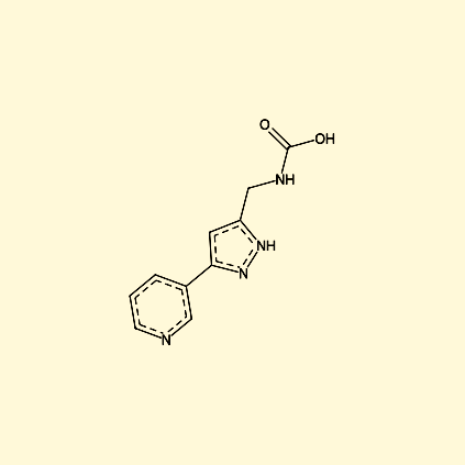 O=C(O)NCc1cc(-c2cccnc2)n[nH]1